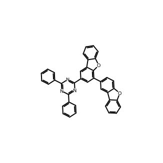 c1ccc(-c2nc(-c3ccccc3)nc(-c3cc(-c4ccc5oc6ccccc6c5c4)c4oc5ccccc5c4c3)n2)cc1